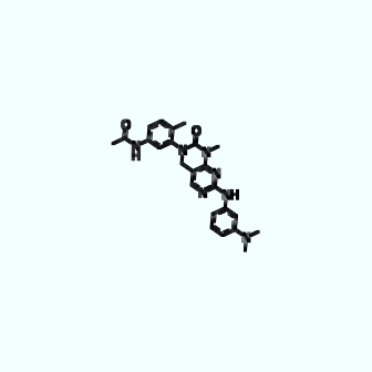 CC(=O)Nc1ccc(C)c(N2Cc3cnc(Nc4cccc(N(C)C)c4)nc3N(C)C2=O)c1